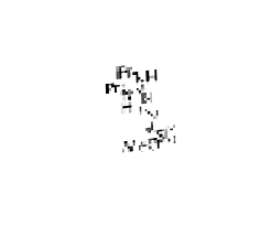 CO[Si](C)(C)CCCN=C(NC(C)C)NC(C)C